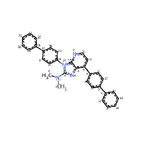 CN(C)c1nc2c(-c3ccc(-c4ccccc4)cc3)ccnc2n1-c1ccc(-c2ccccc2)cc1